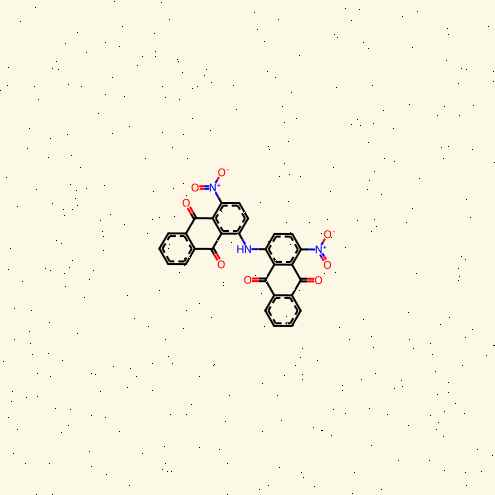 O=C1c2ccccc2C(=O)c2c([N+](=O)[O-])ccc(Nc3ccc([N+](=O)[O-])c4c3C(=O)c3ccccc3C4=O)c21